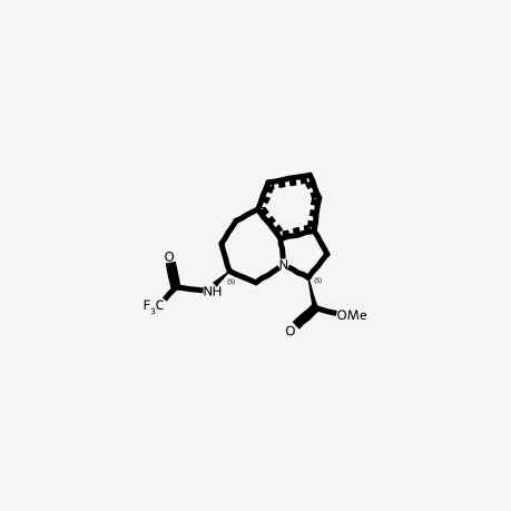 COC(=O)[C@@H]1Cc2cccc3c2N1C[C@@H](NC(=O)C(F)(F)F)CC3